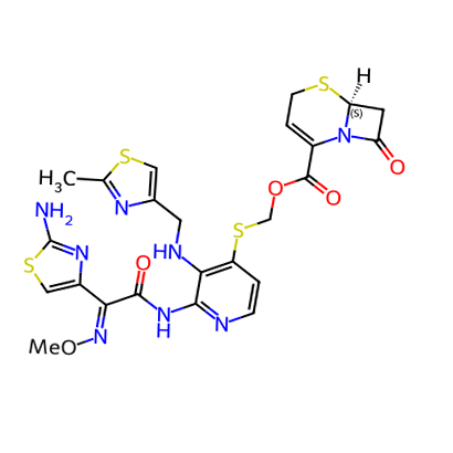 CON=C(C(=O)Nc1nccc(SCOC(=O)C2=CCS[C@H]3CC(=O)N23)c1NCc1csc(C)n1)c1csc(N)n1